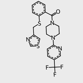 O=C(c1ccccc1SCc1cscn1)N1CCN(c2ccc(C(F)(F)F)cn2)CC1